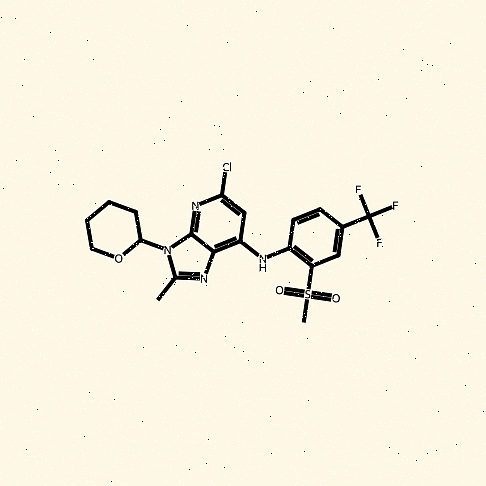 Cc1nc2c(Nc3ccc(C(F)(F)F)cc3S(C)(=O)=O)cc(Cl)nc2n1C1CCCCO1